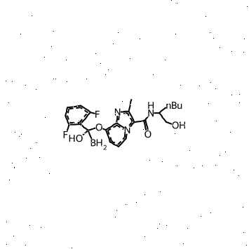 BC(O)(Oc1cccn2c(C(=O)NC(CO)CCCC)c(C)nc12)c1c(F)cccc1F